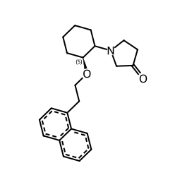 O=C1CCN(C2CCCC[C@@H]2OCCc2cccc3ccccc23)C1